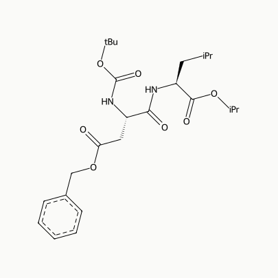 CC(C)C[C@H](NC(=O)[C@H](CC(=O)OCc1ccccc1)NC(=O)OC(C)(C)C)C(=O)OC(C)C